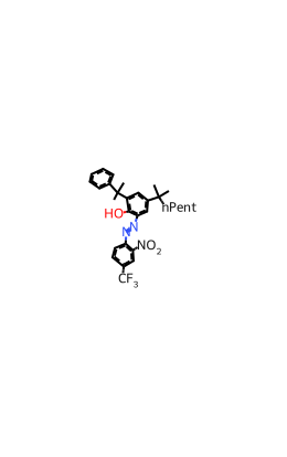 CCCCCC(C)(C)c1cc(N=Nc2ccc(C(F)(F)F)cc2[N+](=O)[O-])c(O)c(C(C)(C)c2ccccc2)c1